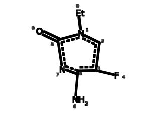 CCn1cc(F)c(N)nc1=O